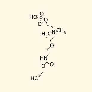 C#CCOC(=O)NCCOCC[N+](C)(C)CCOP(=O)([O-])O